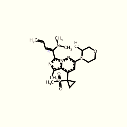 C=C/C=C(/c1nc(C)c2c(C3(S(C)(=O)=O)CC3)cc(N3CCOCC3C)nn12)N(C)C